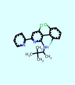 CC(Nc1nc(-c2ccccn2)cc(Cl)c1-c1c(F)cccc1Cl)C(C)(C)C